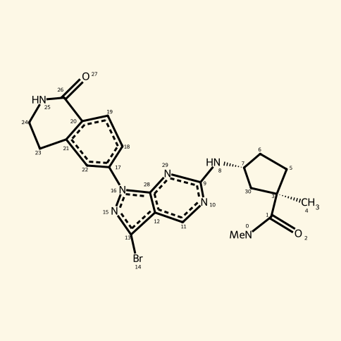 CNC(=O)[C@]1(C)CC[C@@H](Nc2ncc3c(Br)nn(-c4ccc5c(c4)CCNC5=O)c3n2)C1